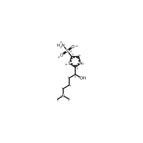 CN(C)CCCC(O)c1ncc(S(N)(=O)=O)s1